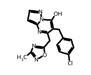 Cc1noc(Cc2nc3ccnn3c(O)c2Cc2ccc(Cl)cc2)n1